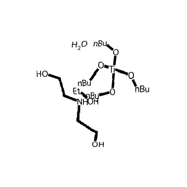 CCCC[O][Ti]([O]CCCC)([O]CCCC)[O]CCCC.CCO.O.OCCNCCO